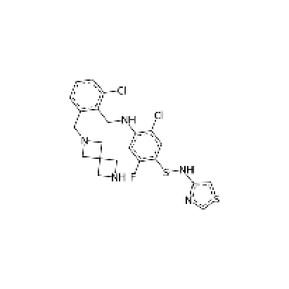 Fc1cc(NCc2c(Cl)cccc2CN2CC3(CNC3)C2)c(Cl)cc1SNc1cscn1